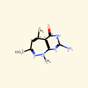 CCOC(=O)C1=NN(C)c2nc(N)[nH]c(=O)c2C(C)=C1